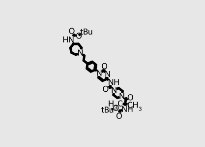 CC(C)(C)OC(=O)NC1CCCN(CCc2ccc(-n3ccc(NC(=O)N4CCN(C(=O)C(C)(C)NC(=O)OC(C)(C)C)CC4)nc3=O)cc2)CC1